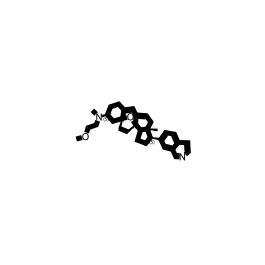 COCCN(C)[C@H]1CCC2=CC3=CC[C@@]4(C)C(CC[C@@H]4c4ccc5ccncc5c4)[C@@]34CC[C@]2(C1)O4